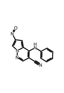 N#Cc1cnn2cc(N=O)cc2c1Nc1ccccc1